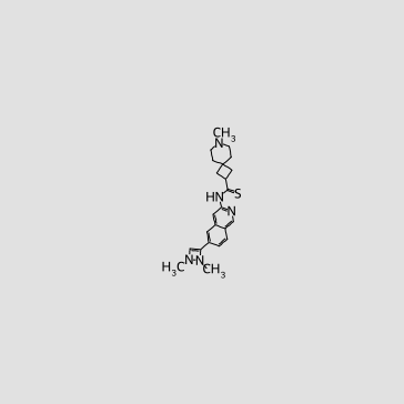 CN1CCC2(CC1)CC(C(=S)Nc1cc3cc(-c4cn(C)n4C)ccc3cn1)C2